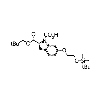 CC(C)(C)COC(=O)c1cc2ccc(OCCO[Si](C)(C)C(C)(C)C)cc2n1C(=O)O